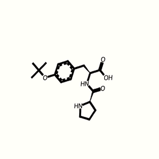 CC(C)(C)Oc1ccc(C[C@H](NC(=O)[C@H]2CCCN2)C(=O)O)cc1